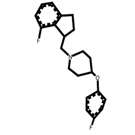 Fc1ccc(OC2CCN(CC3CCc4cccc(F)c43)CC2)cc1